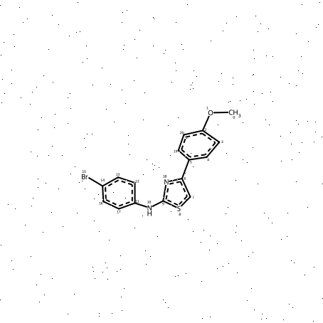 COc1ccc(-c2csc(Nc3ccc(Br)cc3)n2)cc1